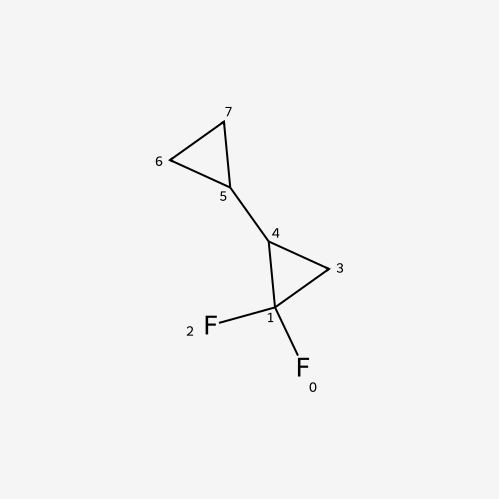 FC1(F)CC1C1CC1